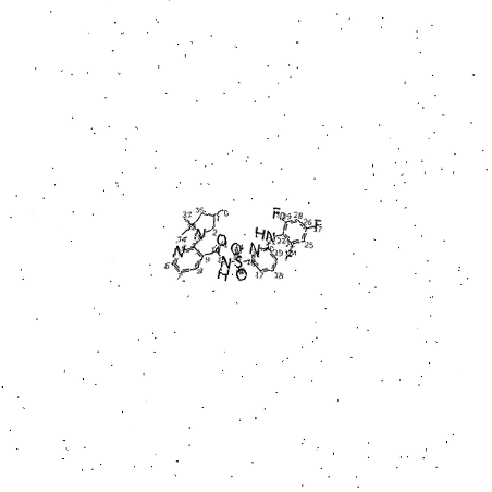 CC1CN(c2ncccc2C(=O)NS(=O)(=O)c2cccc(Nc3c(F)cc(F)cc3F)n2)C(C)(C)C1